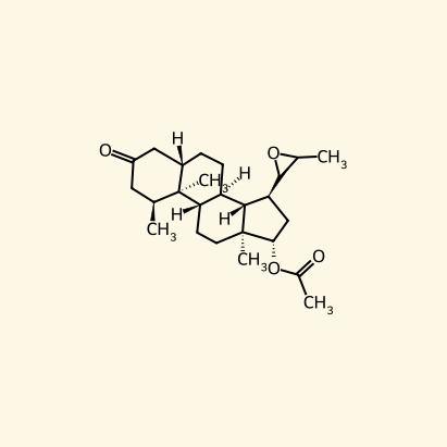 CC(=O)O[C@H]1C[C@H](C2OC2C)[C@H]2[C@@H]3CC[C@H]4CC(=O)C[C@H](C)[C@]4(C)[C@H]3CC[C@@]21C